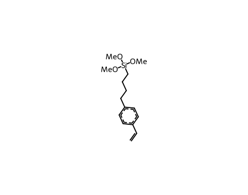 C=Cc1ccc(CCCC[Si](OC)(OC)OC)cc1